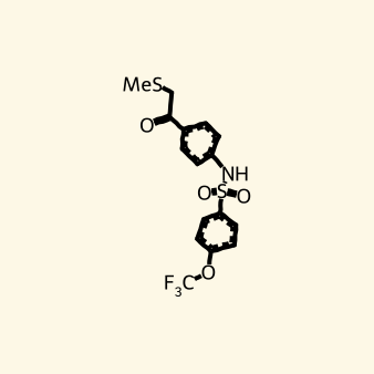 CSCC(=O)c1ccc(NS(=O)(=O)c2ccc(OC(F)(F)F)cc2)cc1